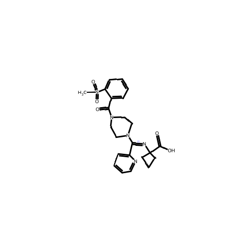 CS(=O)(=O)c1ccccc1C(=O)N1CCN(/C(=N/C2(C(=O)O)CCC2)c2ccccn2)CC1